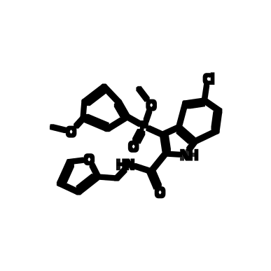 COc1cccc(P(=O)(OC)c2c(C(=O)NCc3ccco3)[nH]c3ccc(Cl)cc23)c1